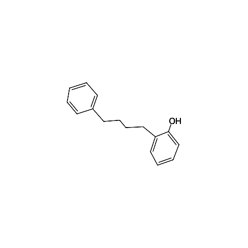 Oc1ccccc1CCCCc1ccccc1